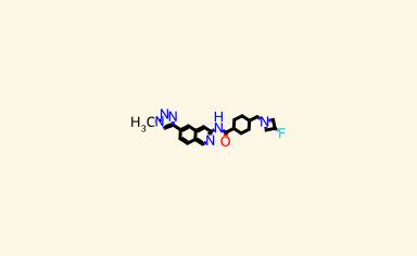 Cn1cc(-c2ccc3cnc(NC(=O)C4CCC(CN5CC(F)C5)CC4)cc3c2)nn1